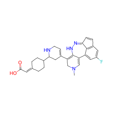 CN1C=C2C(=C(C3=CCNC(C4CCC(=CC(=O)O)CC4)C3)C1)NN=C1C=Cc3cc(F)cc2c31